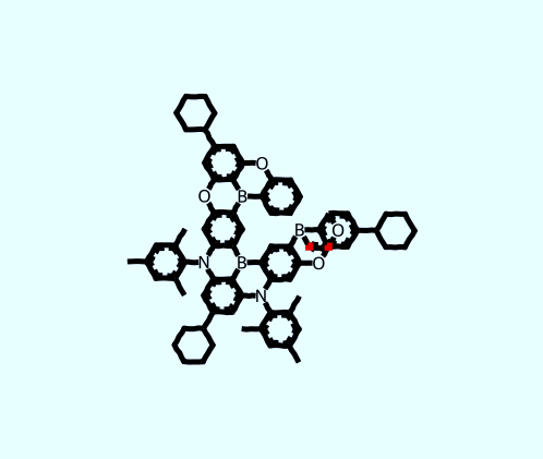 Cc1cc(C)c(N2c3cc4c(cc3B3c5cc6c(cc5N(c5c(C)cc(C)cc5C)c5cc(C7CCCCC7)cc2c53)Oc2cc(C3CCCCC3)cc3c2B6c2ccccc2O3)B2c3ccccc3Oc3cc(C5CCCCC5)cc(c32)O4)c(C)c1